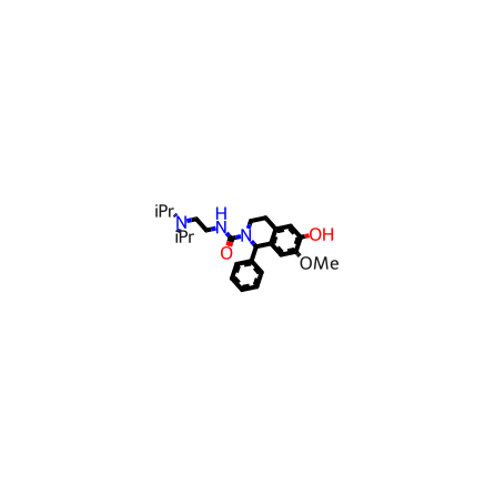 COc1cc2c(cc1O)CCN(C(=O)NCCN(C(C)C)C(C)C)C2c1ccccc1